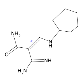 N=C(N)/C(=C\NC1CCCCC1)C(N)=O